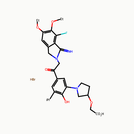 Br.CCOc1cc2c(c(F)c1OCC)C(=N)N(CC(=O)c1cc(C(C)C)c(O)c(N3CCC(OCC(=O)O)C3)c1)C2